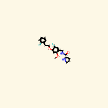 COc1cc(OCCc2ccccc2F)c(F)cc1CNC(=O)[C@@H]1CCCN1